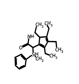 CCC1=C(CC)C(CC)C(C(C([NH])=O)[SiH](C)c2ccccc2)=C1CC